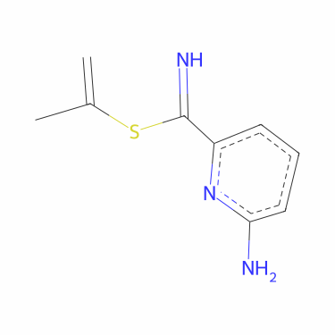 C=C(C)SC(=N)c1cccc(N)n1